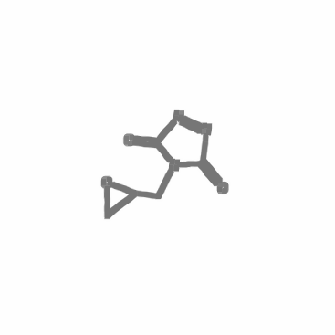 O=C1N=NC(=O)N1CC1CO1